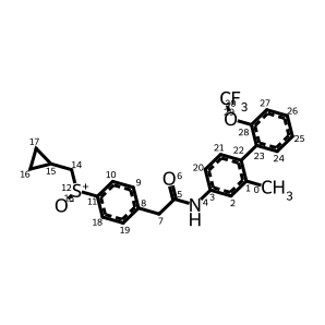 Cc1cc(NC(=O)Cc2ccc([S+]([O-])CC3CC3)cc2)ccc1-c1ccccc1OC(F)(F)F